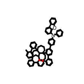 Cc1ccccc1-c1ccccc1C12CCCCC34CCC(CC5(CC(CC1)c1ccccc1-c1ccccc15)C23)c1ccccc1-c1ccc(-c2ccc(N(c3ccccc3)c3cccc5c3oc3ccccc35)cc2)cc14